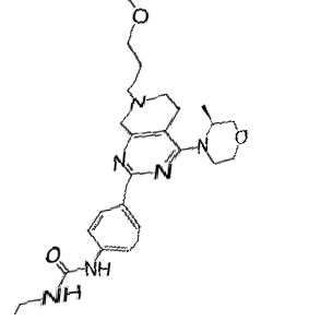 CCNC(=O)Nc1ccc(-c2nc3c(c(N4CCOC[C@@H]4C)n2)CCN(CCCOC)C3)cc1